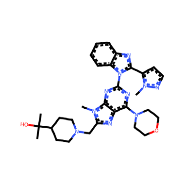 Cn1nccc1-c1nc2ccccc2n1-c1nc(N2CCOCC2)c2nc(CN3CCC(C(C)(C)O)CC3)n(C)c2n1